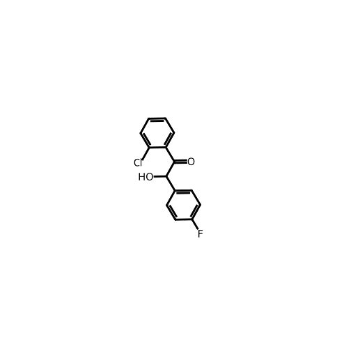 O=C(c1ccccc1Cl)C(O)c1ccc(F)cc1